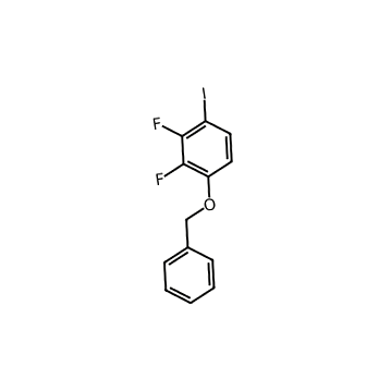 Fc1c(I)ccc(OCc2ccccc2)c1F